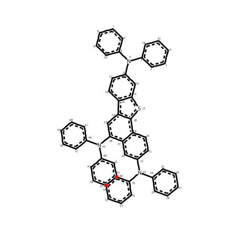 c1ccc(N(c2ccccc2)c2ccc3c(c2)sc2c4ccc(N(c5ccccc5)c5ccccc5)cc4c(N(c4ccccc4)c4ccccc4)cc32)cc1